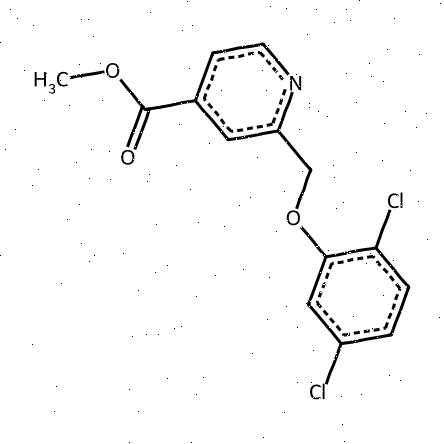 COC(=O)c1ccnc(COc2cc(Cl)ccc2Cl)c1